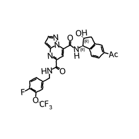 CC(=O)c1ccc2c(c1)C[C@@H](O)[C@@H]2NC(=O)c1cc(C(=O)NCc2ccc(F)c(OC(F)(F)F)c2)nc2ccnn12